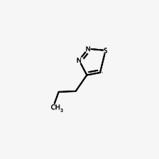 CCCc1[c]snn1